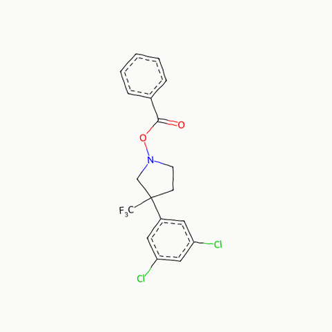 O=C(ON1CCC(c2cc(Cl)cc(Cl)c2)(C(F)(F)F)C1)c1ccccc1